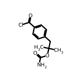 CC(C)(Cc1ccc(C(=O)Cl)cc1)OC(N)=O